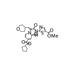 COC(=O)c1cnc(NC(=O)[C@H](CC2CCOCC2)n2ccc(S(=O)(=O)C3CCCC3)cc2=O)s1